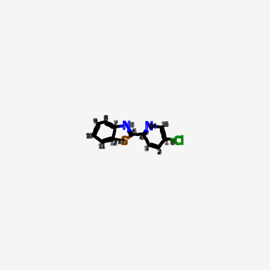 Clc1ccc(-c2nc3ccccc3s2)nc1